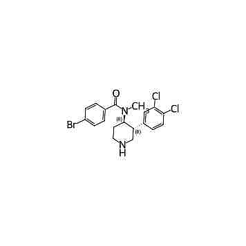 CN(C(=O)c1ccc(Br)cc1)[C@@H]1CCNC[C@H]1c1ccc(Cl)c(Cl)c1